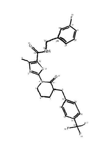 Cc1nc(N2CCCC(Cc3ccc(C(F)(F)F)cc3)C2=O)sc1C(=O)NCc1cccc(F)c1